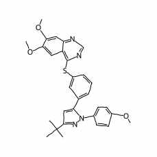 COc1ccc(-n2nc(C(C)(C)C)cc2-c2cccc(Sc3ncnc4cc(OC)c(OC)cc34)c2)cc1